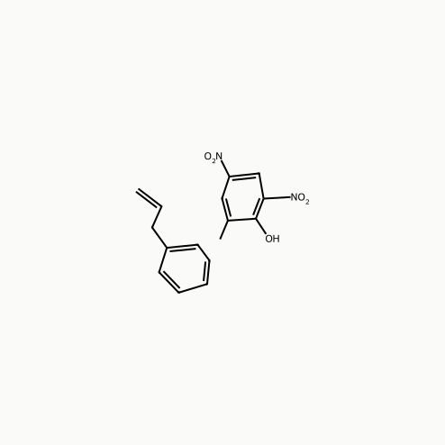 C=CCc1ccccc1.Cc1cc([N+](=O)[O-])cc([N+](=O)[O-])c1O